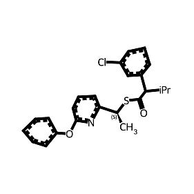 CC(C)C(C(=O)S[C@@H](C)c1cccc(Oc2ccccc2)n1)c1cccc(Cl)c1